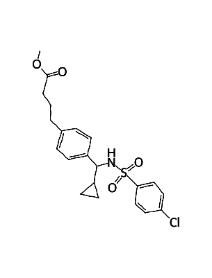 COC(=O)CCCc1ccc(C(NS(=O)(=O)c2ccc(Cl)cc2)C2CC2)cc1